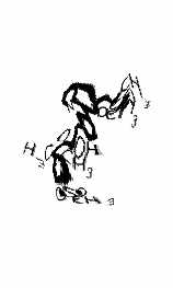 CC(C(=O)C(C)(O)Cc1cccc(-c2cc(CC(C)S(C)(=O)=O)cc3cccnc23)c1)c1ccc(S(C)(=O)=O)cc1